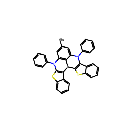 CC(C)(C)c1cc2c3c(c1)N(c1ccccc1)c1c(sc4ccccc14)B3c1c(sc3ccccc13)N2c1ccccc1